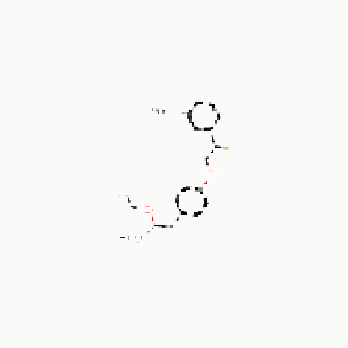 COc1cccc(C(F)COc2ccc(CC(OCC(F)(F)F)C(=O)O)cc2)c1